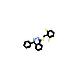 Fc1cccc(F)c1CSc1nnc(-c2ccccc2)c2ccccc12